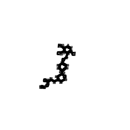 CCc1ccc(Cl)c(COc2ccc(C3CN(CCC(=O)OC(C)(C)C)CCO3)cc2)c1Cl